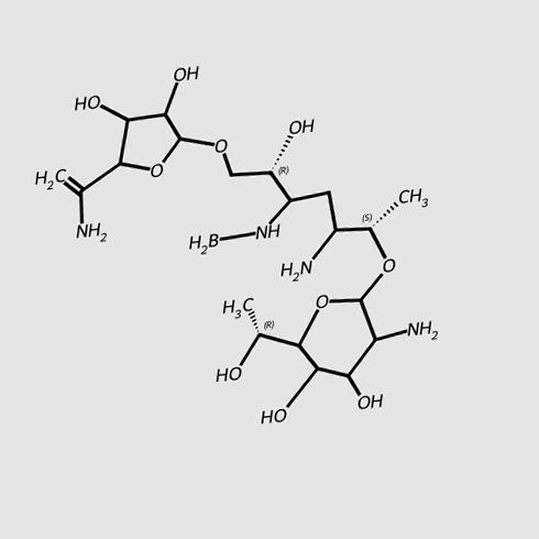 BNC(CC(N)[C@H](C)OC1OC([C@@H](C)O)C(O)C(O)C1N)[C@@H](O)COC1OC(C(=C)N)C(O)C1O